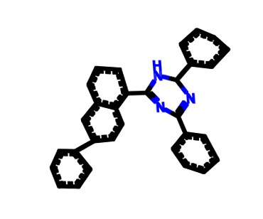 c1ccc(C2=NC(c3ccccc3)NC(c3cccc4cc(-c5ccccc5)ccc34)=N2)cc1